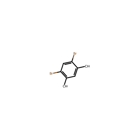 [CH]c1cc([CH])c(Br)cc1Br